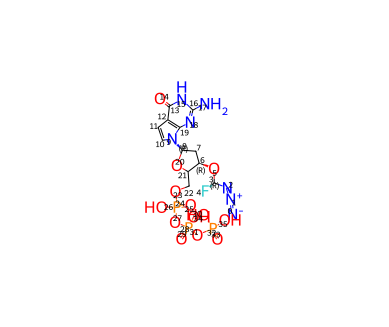 [N-]=[N+]=N[C@@H](F)O[C@@H]1C[C@H](n2ccc3c(=O)[nH]c(N)nc32)OC1COP(=O)(O)OP(=O)(O)OP(=O)(O)O